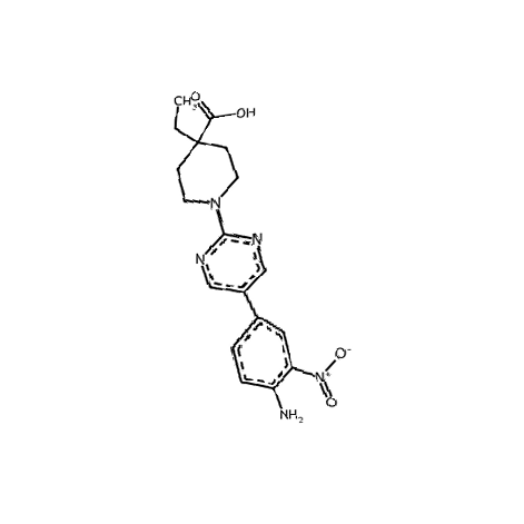 CCC1(C(=O)O)CCN(c2ncc(-c3ccc(N)c([N+](=O)[O-])c3)cn2)CC1